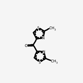 Cc1nc(C(=O)c2csc(C)n2)cs1